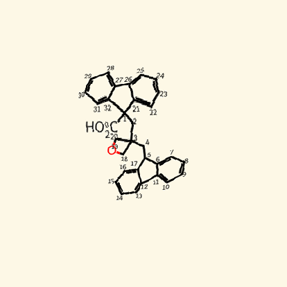 O=C(O)C1(CC2(CC3c4ccccc4-c4ccccc43)COC2)c2ccccc2-c2ccccc21